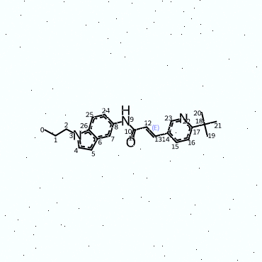 CCCn1ccc2cc(NC(=O)/C=C/c3ccc(C(C)(C)C)nc3)ccc21